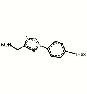 CCCCCCc1ccc(-n2cc(CNC)nn2)cc1